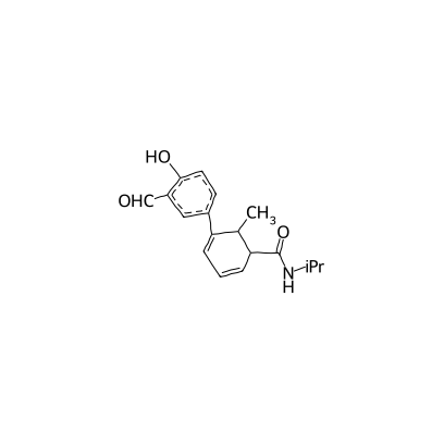 CC(C)NC(=O)C1C=CC=C(c2ccc(O)c(C=O)c2)C1C